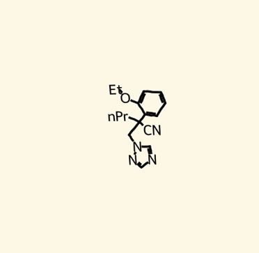 CCCC(C#N)(Cn1cncn1)c1ccccc1OCC